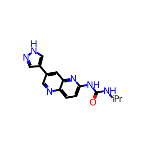 CC(C)NC(=O)Nc1ccc2ncc(-c3cn[nH]c3)cc2n1